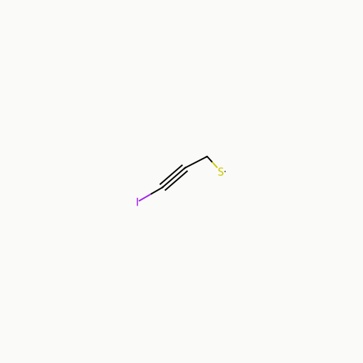 [S]CC#CI